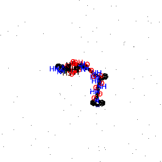 O=C(CCC(=O)N1Cc2ccccc2/C=C\c2ccccc21)NCC(=O)NCC(=O)N[C@@H](Cc1ccccc1)C(=O)NCC(=O)NCOCCn1cnc2c(ncn2[C@@H]2O[C@@H]3COP(=O)(S)O[C@H]4[C@@H](F)[C@H](n5cc6c7c(ncnc75)NCCC6)O[C@@H]4COP(=O)(O)O[C@@H]2[C@@H]3O)c1=O